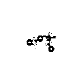 Cc1c(Cc2ccc(C(=O)Nc3ccccc3N)cc2)sc(NC(=O)c2ccccc2)c1C#N